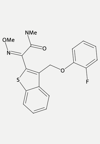 CNC(=O)/C(=N\OC)c1sc2ccccc2c1COc1ccccc1F